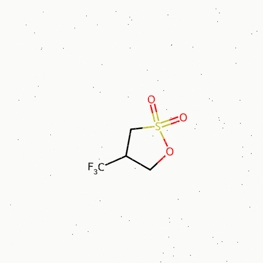 O=S1(=O)CC(C(F)(F)F)CO1